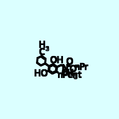 CCCCCc1cc(O)c(C2C=C(C)CCC2)c(O)c1CN(C)C(=O)OCCC